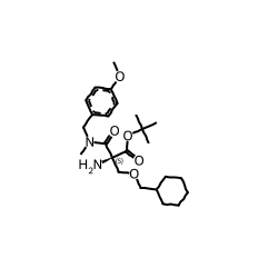 COc1ccc(CN(C)C(=O)[C@@](N)(COCC2CCCCC2)C(=O)OC(C)(C)C)cc1